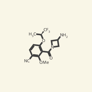 COc1c(C#N)ccc(O[C@@H](C)C(F)(F)F)c1C(=O)N1CC(N)C1